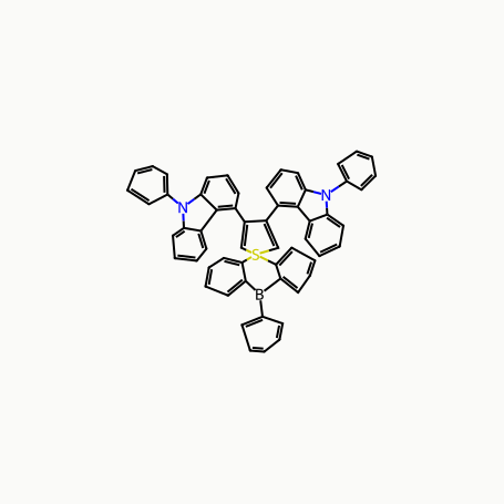 C1=C(c2cccc3c2c2ccccc2n3-c2ccccc2)C(c2cccc3c2c2ccccc2n3-c2ccccc2)=CS12c1ccccc1B(c1ccccc1)c1ccccc12